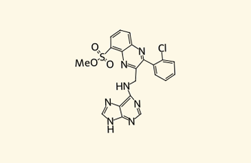 COS(=O)(=O)c1cccc2nc(-c3ccccc3Cl)c(CNc3ncnc4[nH]cnc34)nc12